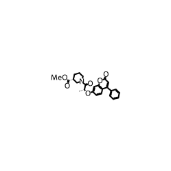 COC(=O)[C@@H]1CCCN(C(=O)[C@@H](C)Oc2ccc3c(-c4ccccc4)cc(=O)oc3c2)C1